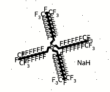 FC(F)(F)C(F)(C(F)(F)F)C(F)(F)C(F)(F)C(F)(F)C(F)(F)C(F)(F)C(F)(F)CC[B-](CCC(F)(F)C(F)(F)C(F)(F)C(F)(F)C(F)(F)C(F)(F)C(F)(C(F)(F)F)C(F)(F)F)(CCC(F)(F)C(F)(F)C(F)(F)C(F)(F)C(F)(F)C(F)(F)C(F)(C(F)(F)F)C(F)(F)F)CCC(F)(F)C(F)(F)C(F)(F)C(F)(F)C(F)(F)C(F)(F)C(F)(C(F)(F)F)C(F)(F)F.[NaH]